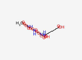 CC(=O)COCCOCCNC(=O)COCCOCCNC(=O)COCCOCCNC(=O)CC[C@H](NC(=O)CCCCCCCCCCCCCCCCCCC(=O)O)C(=O)O